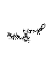 C[C@@H]1CN(c2nc(N)nc(NC[C@H]3CC[C@H](CNCCCNC4CCCCC4)CC3)n2)CCN1CCP(=O)(O)O